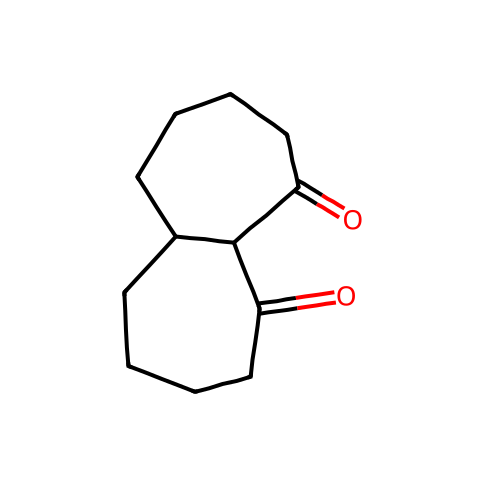 O=C1CCCCC2CCCCC(=O)C12